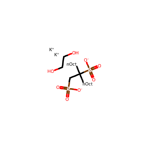 CCCCCCCCC(CCCCCCCC)(CS(=O)(=O)[O-])S(=O)(=O)[O-].OCCO.[K+].[K+]